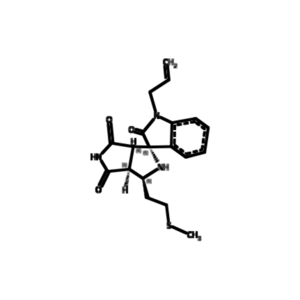 C=CCN1C(=O)[C@@]2(N[C@@H](CCSC)[C@H]3C(=O)NC(=O)[C@H]32)c2ccccc21